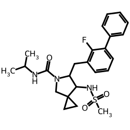 CC(C)NC(=O)N1CC2(CC2)C(NS(C)(=O)=O)C1Cc1cccc(-c2ccccc2)c1F